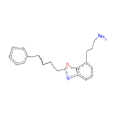 NCCCc1cccc2nc(CCCCc3ccccc3)oc12